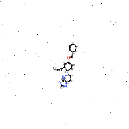 COc1cc(OCc2ccccc2)ccc1-n1ccc2ncnc-2n1